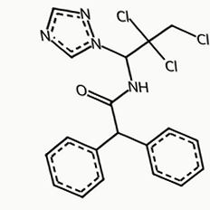 O=C(NC(n1cncn1)C(Cl)(Cl)CCl)C(c1ccccc1)c1ccccc1